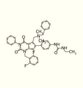 CCNC(=O)Nc1ccc(-c2sc3c(c2C[N+](C)(C)Cc2ccccc2)c(=O)n(-c2ccccc2)c(=O)n3Cc2c(F)cccc2F)cc1